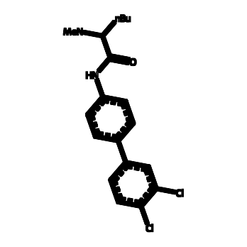 CCCCC(NC)C(=O)Nc1ccc(-c2ccc(Cl)c(Cl)c2)cc1